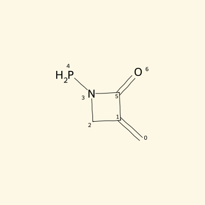 C=C1CN(P)C1=O